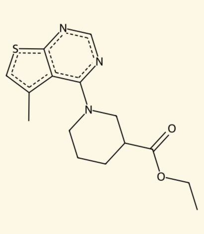 CCOC(=O)C1CCCN(c2ncnc3scc(C)c23)C1